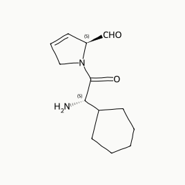 N[C@H](C(=O)N1CC=C[C@H]1C=O)C1CCCCC1